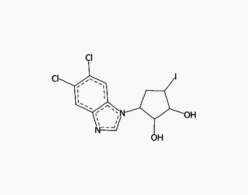 OC1C(I)CC(n2cnc3cc(Cl)c(Cl)cc32)C1O